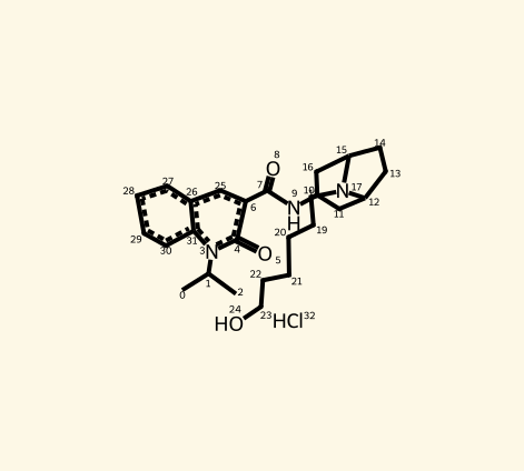 CC(C)n1c(=O)c(C(=O)NC2CC3CCC(C2)N3CCCCCCO)cc2ccccc21.Cl